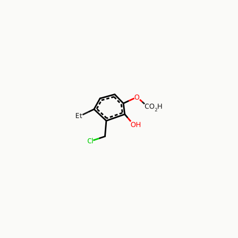 CCc1ccc(OC(=O)O)c(O)c1CCl